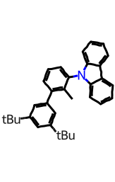 Cc1c(-c2cc(C(C)(C)C)cc(C(C)(C)C)c2)cccc1-n1c2ccccc2c2ccccc21